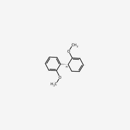 COC1=C[C]=CC[C@@H]1c1ccccc1OC